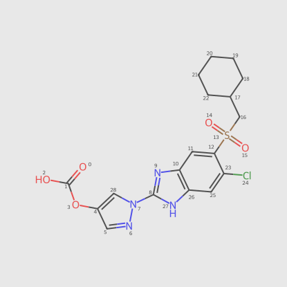 O=C(O)Oc1cnn(-c2nc3cc(S(=O)(=O)CC4CCCCC4)c(Cl)cc3[nH]2)c1